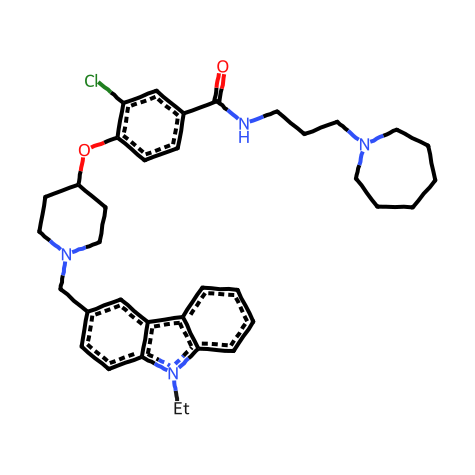 CCn1c2ccccc2c2cc(CN3CCC(Oc4ccc(C(=O)NCCCN5CCCCCC5)cc4Cl)CC3)ccc21